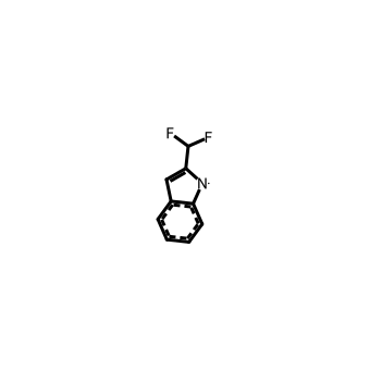 FC(F)C1=Cc2ccccc2[N]1